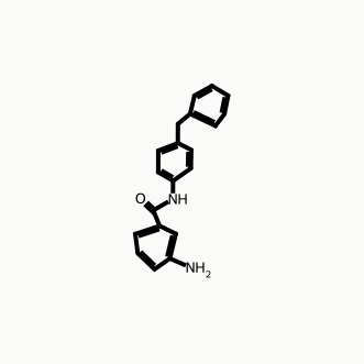 Nc1cccc(C(=O)Nc2ccc(Cc3ccccc3)cc2)c1